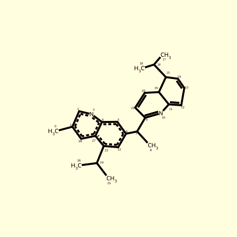 Cc1cnc2cc(C(C)C3=NC4=CC=CC(C(C)C)C4C=C3)cc(C(C)C)c2c1